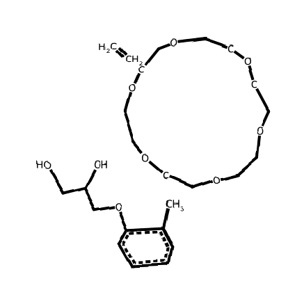 C1COCCOCCOCCOCCOCCO1.C=C.Cc1ccccc1OCC(O)CO